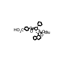 C[C@H](c1cccc2ccccc12)N(C[C@H]1CN(C(=O)Oc2ccc(C(=O)O)cc2)C[C@@H]1c1ccccc1)C(=O)OC(C)(C)C